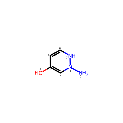 NN1C=C(O)C=CN1